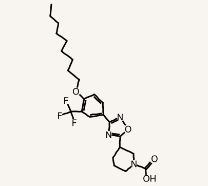 CCCCCCCCCOc1ccc(-c2noc(C3CCCN(C(=O)O)C3)n2)cc1C(F)(F)F